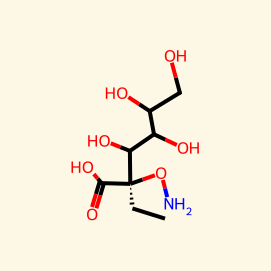 CC[C@](ON)(C(=O)O)C(O)C(O)C(O)CO